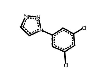 Clc1cc(Cl)cc(-n2ccnn2)c1